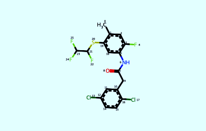 Cc1cc(F)c(NC(=O)Cc2cc(Cl)ccc2Cl)cc1SC(F)C(F)F